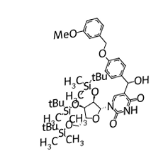 COc1cccc(COc2ccc(C(O)c3cn([C@@H]4O[C@H](CO[Si](C)(C)C(C)(C)C)[C@@H](O[Si](C)(C)C(C)(C)C)[C@H]4O[Si](C)(C)C(C)(C)C)c(=O)[nH]c3=O)cc2)c1